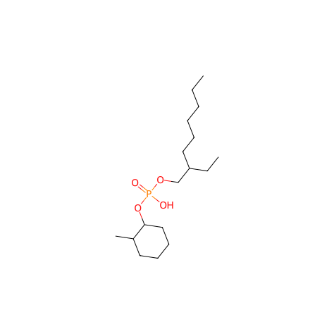 CCCCCCC(CC)COP(=O)(O)OC1CCCCC1C